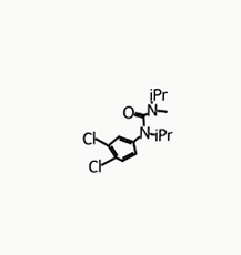 CC(C)N(C)C(=O)N(c1ccc(Cl)c(Cl)c1)C(C)C